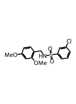 COc1ccc(CNS(=O)(=O)c2cccc(Cl)c2)c(OC)c1